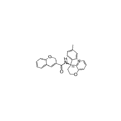 Cc1ccc([C@@]2(NC(=O)C3=Cc4ccccc4OC3)CCOc3cccnc32)cc1